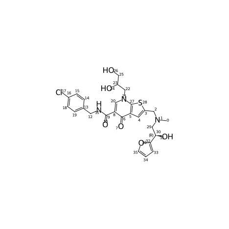 CN(Cc1cc2c(=O)c(C(=O)NCc3ccc(Cl)cc3)cn(CC(O)CO)c2s1)C[C@@H](O)c1ccco1